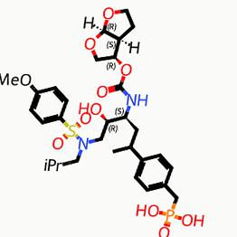 COc1ccc(S(=O)(=O)N(CC(C)C)C[C@@H](O)[C@H](CC(C)c2ccc(CP(=O)(O)O)cc2)NC(=O)O[C@H]2CO[C@H]3OCC[C@H]32)cc1